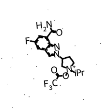 CC(C)[N+]1(OC(=O)C(F)(F)F)CCC(n2cc3cc(F)cc(C(N)=O)c3n2)C1